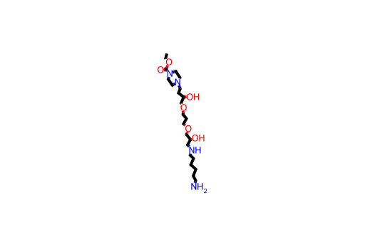 CCOC(=O)N1CCN(CCC(O)COCCCOCC(O)CNCCCCCCN)CC1